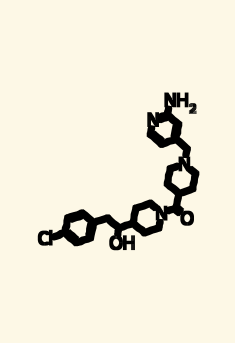 Nc1cc(CN2CCC(C(=O)N3CCC(C(O)Cc4ccc(Cl)cc4)CC3)CC2)ccn1